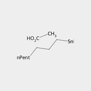 CC(=O)O.CCCCCCC[CH2][Sn]